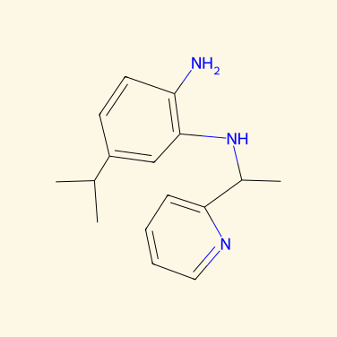 CC(C)c1ccc(N)c(NC(C)c2ccccn2)c1